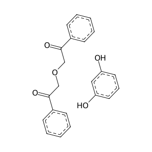 O=C(COCC(=O)c1ccccc1)c1ccccc1.Oc1cccc(O)c1